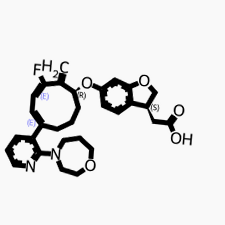 C=C1/C(F)=C\C=C(\c2cccnc2N2CCCOCC2)CCC[C@H]1Oc1ccc2c(c1)OC[C@H]2CC(=O)O